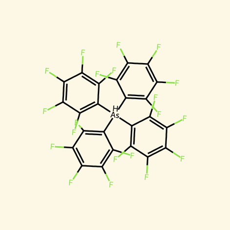 Fc1c(F)c(F)c([AsH](c2c(F)c(F)c(F)c(F)c2F)(c2c(F)c(F)c(F)c(F)c2F)c2c(F)c(F)c(F)c(F)c2F)c(F)c1F